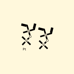 C=C[Si](C)(C=C)O[Si](C)(C)C.C=C[Si](C)(C=C)O[Si](C)(C)C.[Pt]